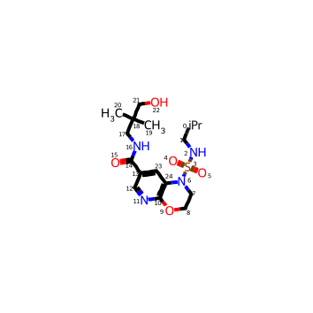 CC(C)CNS(=O)(=O)N1CCOc2ncc(C(=O)NCC(C)(C)CO)cc21